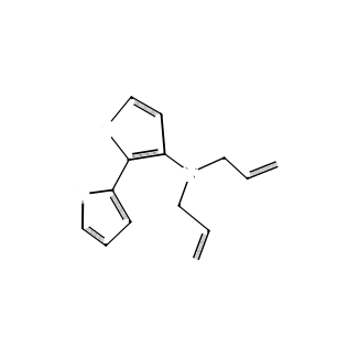 C=CCN(CC=C)c1ccsc1-c1cccs1